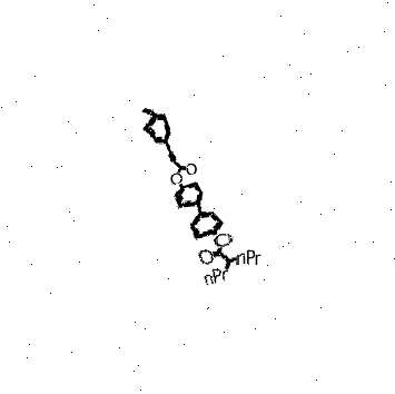 CCCC(CCC)C(=O)Oc1ccc(-c2ccc(OC(=O)C#Cc3ccc(C)cc3)cc2)cc1